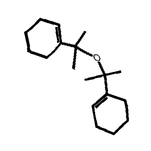 CC(C)(OC(C)(C)C1=CCCCC1)C1=CCCCC1